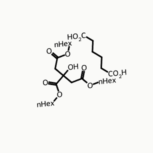 CCCCCCOC(=O)CC(O)(CC(=O)OCCCCCC)C(=O)OCCCCCC.O=C(O)CCCCC(=O)O